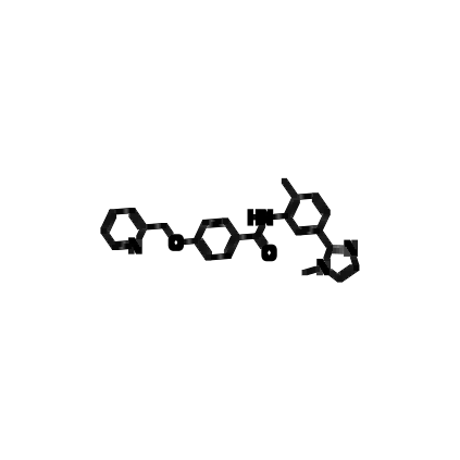 Cc1ccc(-c2nccn2C)cc1NC(=O)c1ccc(OCc2ccccn2)cc1